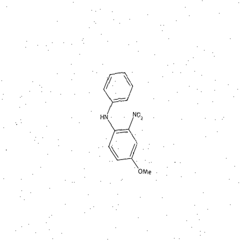 COc1ccc(Nc2ccccc2)c([N+](=O)[O-])c1